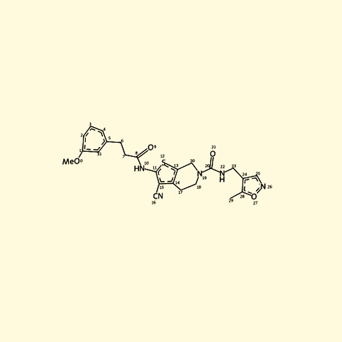 COc1cccc(CCC(=O)Nc2sc3c(c2C#N)CCN(C(=O)NCc2cnoc2C)C3)c1